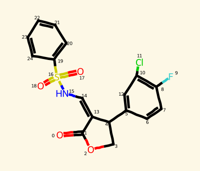 O=C1OCC(c2ccc(F)c(Cl)c2)C1=CNS(=O)(=O)c1ccccc1